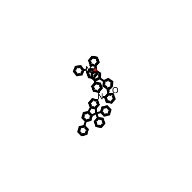 c1ccc(-c2ccc(N(c3ccc4c(c3)C(c3ccccc3)(c3ccccc3)c3cc(-c5ccccc5)ccc3-4)c3cccc4oc5ccc(-c6ccc7c(c6)c6ccccc6n7-c6ccccc6)cc5c34)cc2)cc1